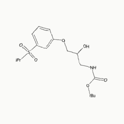 CC(C)S(=O)(=O)c1cccc(OCC(O)CNC(=O)OC(C)(C)C)c1